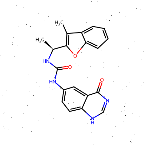 Cc1c([C@H](C)NC(=O)Nc2ccc3[nH]cnc(=O)c3c2)oc2ccccc12